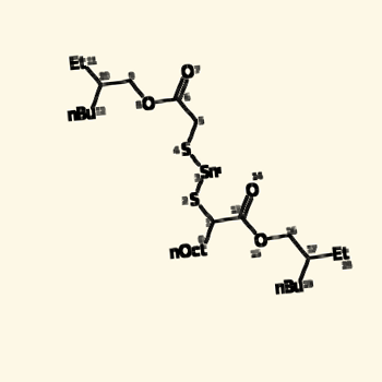 CCCCCCCCC([S][Sn][S]CC(=O)OCC(CC)CCCC)C(=O)OCC(CC)CCCC